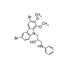 COc1c(Br)cc2c3cc(Br)ccc3n(CC(O)CNc3ccccc3)c2c1OC